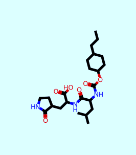 CCCC1CCC(OC(=O)NC(CC(C)C)C(=O)NC(CC2CCNC2=O)C(=O)O)CC1